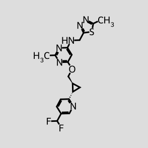 Cc1nc(NCc2nnc(C)s2)cc(OC[C@H]2C[C@@H]2c2ccc(C(F)F)cn2)n1